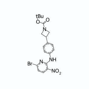 CC(C)(C)OC(=O)N1CC(c2ccc(Nc3nc(Br)ccc3[N+](=O)[O-])cc2)C1